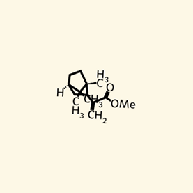 C=C(C(=O)OC)C1C[C@H]2CC[C@@]1(C)C2(C)C